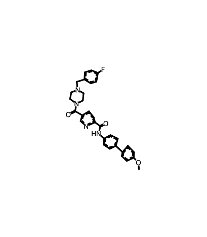 COc1ccc(-c2ccc(NC(=O)c3ccc(C(=O)N4CCN(Cc5ccc(F)cc5)CC4)cn3)cc2)cc1